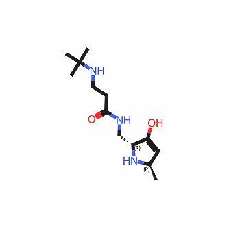 C[C@@H]1C=C(O)[C@@H](CNC(=O)CCNC(C)(C)C)N1